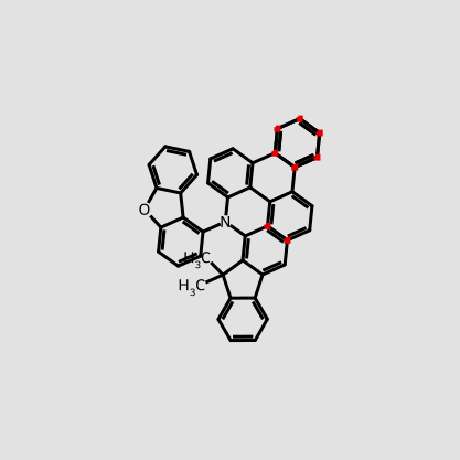 CC1(C)c2ccccc2-c2cccc(N(c3cccc(-c4ccccc4)c3-c3ccccc3-c3ccccc3)c3cccc4oc5ccccc5c34)c21